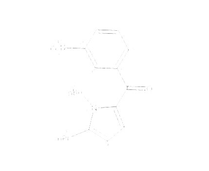 CCCCn1c(CCC)ccc1C(=O)c1cccc([N+](=O)[O-])c1